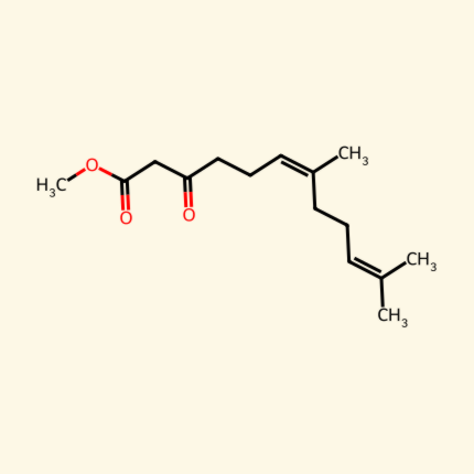 COC(=O)CC(=O)CCC=C(C)CCC=C(C)C